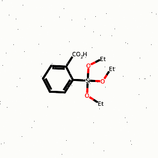 CCO[Si](OCC)(OCC)c1ccccc1C(=O)O